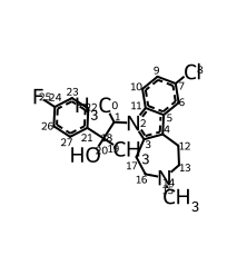 CC(n1c2c(c3cc(Cl)ccc31)CCN(C)CC2)C(C)(O)c1ccc(F)cc1